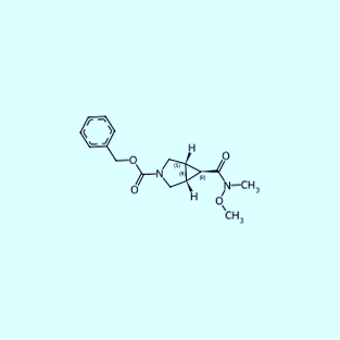 CON(C)C(=O)[C@H]1[C@@H]2CN(C(=O)OCc3ccccc3)C[C@@H]21